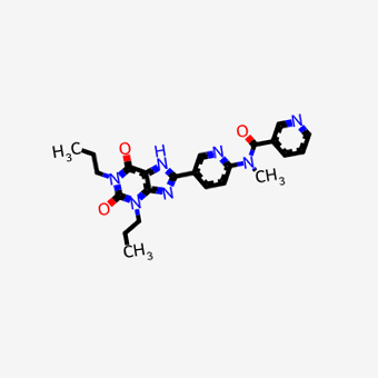 CCCn1c(=O)c2[nH]c(-c3ccc(N(C)C(=O)c4cccnc4)nc3)nc2n(CCC)c1=O